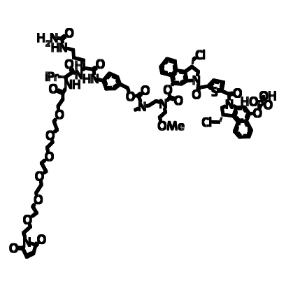 COCCN(CCN(C)C(=O)OCc1ccc(NC(=O)[C@H](CCCNC(N)=O)NC(=O)[C@@H](NC(=O)CCOCCOCCOCCOCCOCCOCCN2C(=O)C=CC2=O)C(C)C)cc1)C(=O)Oc1cc2c(c3ccccc13)[C@H](CCl)CN2C(=O)c1ccc(C(=O)N2C[C@@H](CCl)c3c2cc(OP(=O)(O)O)c2ccccc32)s1